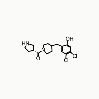 O=C([C@@H]1CCNC1)N1CCC(Cc2cc(Cl)c(Cl)cc2O)CC1